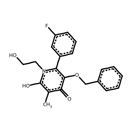 Cc1c(O)n(CCO)c(-c2cccc(F)c2)c(OCc2ccccc2)c1=O